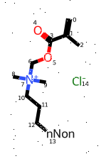 C=C(C)C(=O)OC[N+](C)(C)CCCCCCCCCCCC.[Cl-]